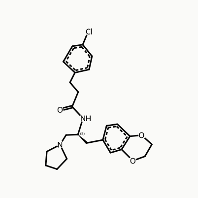 O=C(CCc1ccc(Cl)cc1)N[C@@H](Cc1ccc2c(c1)OCCO2)CN1CCCC1